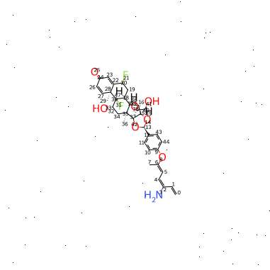 C=C/C(N)=C\C=C(/C)Oc1ccc([C@@H]2O[C@@H]3C[C@H]4[C@@H]5C[C@H](F)C6=CC(=O)C=C[C@]6(C)[C@@]5(F)[C@@H](O)C[C@]4(C)[C@]3(C(=O)CO)O2)cc1